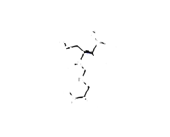 C=NN(C)/C(C)=C(\CCC)N(C)CNCC(C)N(C)C